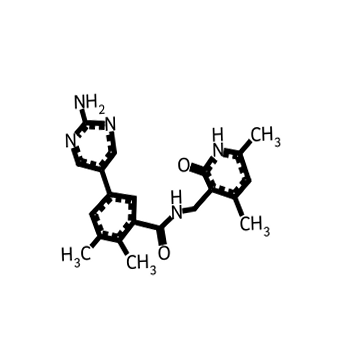 Cc1cc(C)c(CNC(=O)c2cc(-c3cnc(N)nc3)cc(C)c2C)c(=O)[nH]1